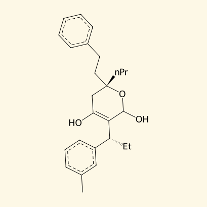 CCC[C@]1(CCc2ccccc2)CC(O)=C([C@H](CC)c2cccc(C)c2)C(O)O1